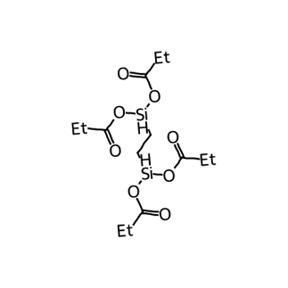 CCC(=O)O[SiH](CC[SiH](OC(=O)CC)OC(=O)CC)OC(=O)CC